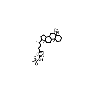 CC[C@H]1CC2C3CCC([C@H](C)CCc4nnc(NS(C)(=O)=O)o4)[C@@]3(C)CCC2[C@@]2(C)CCCC[C@@H]12